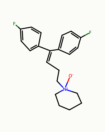 [O-][N+]1(CCC=C(c2ccc(F)cc2)c2ccc(F)cc2)CCCCC1